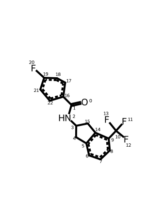 O=C(NC1Cc2cccc(C(F)(F)F)c2C1)c1ccc(F)cc1